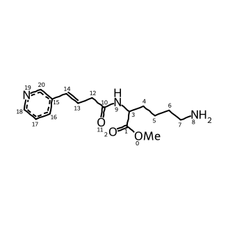 COC(=O)C(CCCCN)NC(=O)CC=Cc1cccnc1